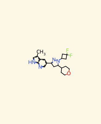 Cc1c[nH]c2ncc(C3=NN(C4CC(F)(F)C4)C(C4CCOCC4)C3)cc12